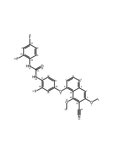 COc1cc2nccc(Oc3ccc(NC(=O)Nc4ccc(F)cc4F)c(F)c3)c2c(OC)c1C#N